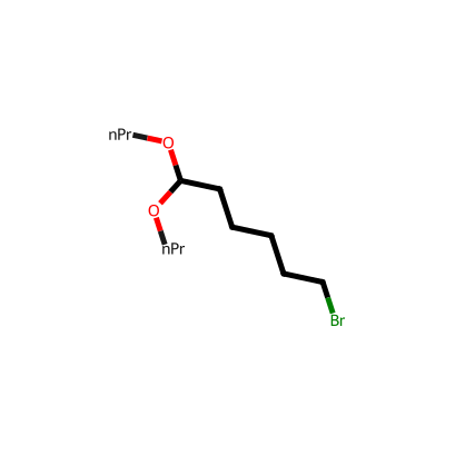 CCCOC(CCCCCBr)OCCC